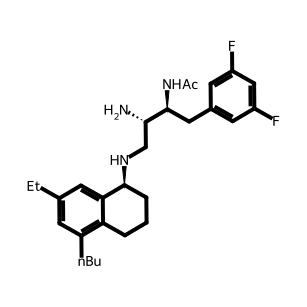 CCCCc1cc(CC)cc2c1CCC[C@@H]2NC[C@H](N)[C@H](Cc1cc(F)cc(F)c1)NC(C)=O